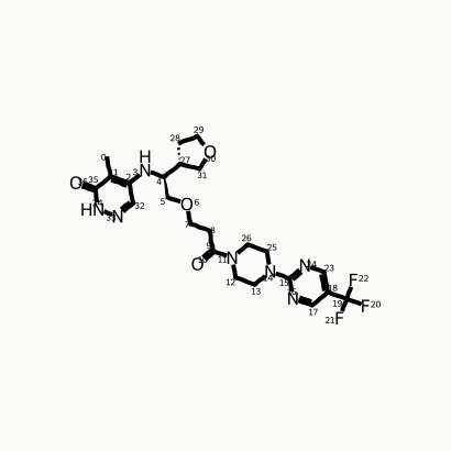 Cc1c(N[C@H](COCCC(=O)N2CCN(c3ncc(C(F)(F)F)cn3)CC2)[C@@H]2CCOC2)cn[nH]c1=O